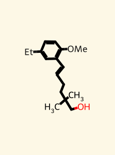 CCc1ccc(OC)c(/C=C/CCC(C)(C)CO)c1